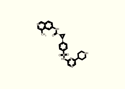 Cc1cncc2ccc(NC(=O)[C@@H]3C[C@H]3c3ccc(S(=O)(=O)Nc4cncc(C5CCNCC5)n4)cc3)cc12